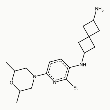 CCc1nc(N2CC(C)OC(C)C2)ccc1NC1CC2(CC(N)C2)C1